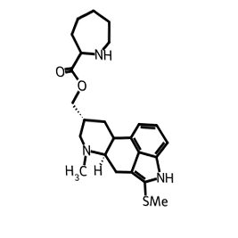 CSc1[nH]c2cccc3c2c1C[C@@H]1C3C[C@@H](COC(=O)C2CCCCCN2)CN1C